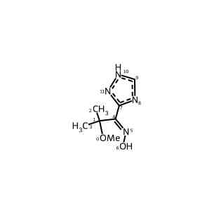 COC(C)(C)C(=NO)c1nc[nH]n1